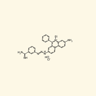 CC[n+]1c(-c2ccccc2)c2cc(N/N=N/c3cccc(C(=N)N)c3)ccc2c2ccc(N)cc21.Cl.[Cl-]